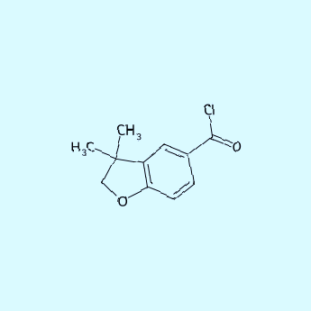 CC1(C)COc2ccc(C(=O)Cl)cc21